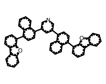 c1ccc2c(c1)oc1c(-c3ccc(-c4cncc(-c5ccc(-c6cccc7c6oc6ccccc67)c6ccccc56)c4)c4ccccc34)cccc12